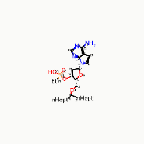 CCCCCCCC(CCCCCCC)OC[C@H]1O[C@@H](n2ccc3c(N)ncnc32)C[C@@H]1OP(=O)(O)CC